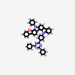 c1ccc(-c2nc(-c3ccccc3)nc(-c3ccc(-n4c5ccccc5c5ccc6c(c7ccc8c9ccccc9oc8c7n6-c6ccccc6)c54)cc3)n2)cc1